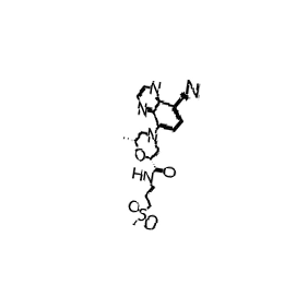 C[C@@H]1CN(c2ccc(C#N)c3nccnc23)C[C@H](C(=O)NCCCS(C)(=O)=O)O1